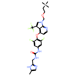 Cc1cnc(CNC(=O)Nc2cc(F)c(Oc3ccnc4c3c(C(F)(F)F)cn4COCC[Si](C)(C)C)c(F)c2)[nH]1